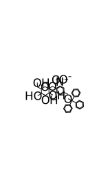 O=[N+]([O-])c1cc(COC(c2ccccc2)(c2ccccc2)c2ccccc2)ccc1O[C@@H]1OC(CO)[C@H](O)C(O)C1O